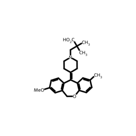 COc1ccc2c(c1)COc1ccc(C)cc1C2=C1CCN(CC(C)(C)C(=O)O)CC1